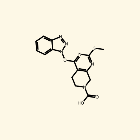 CSc1nc2c(c(On3nnc4ccccc43)n1)CCN(C(=O)O)C2